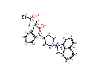 CC[C@@H](O)C[C@]1(C)C(=O)N(C2CCN([C@@H]3Cc4cccc5cccc3c45)CC2)c2ccccc21